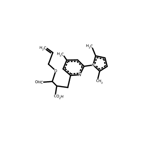 C=CCOC(C=O)C(Cc1cc(C)cc(-n2c(C)ccc2C)n1)C(=O)O